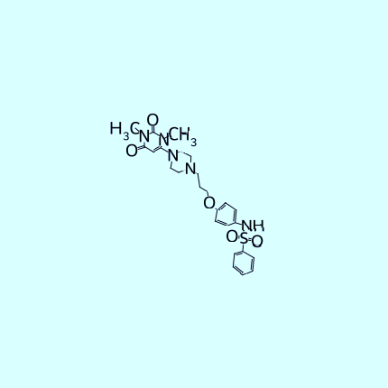 Cn1c(N2CCN(CCCOc3ccc(NS(=O)(=O)c4ccccc4)cc3)CC2)cc(=O)n(C)c1=O